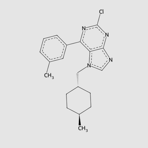 Cc1cccc(-c2nc(Cl)nc3ncn(C[C@H]4CC[C@H](C)CC4)c23)c1